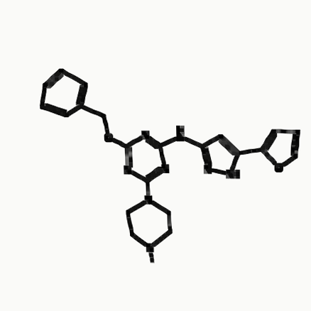 CN1CCN(c2nc(Nc3cc(-c4ccco4)[nH]n3)nc(OCc3ccccc3)n2)CC1